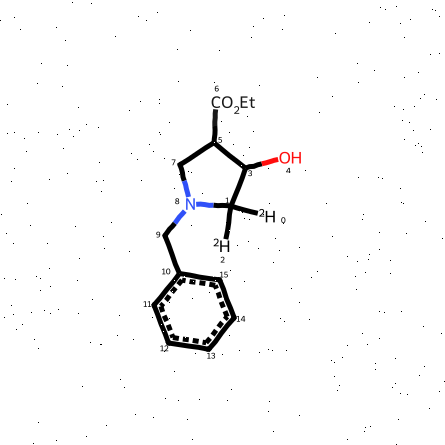 [2H]C1([2H])C(O)C(C(=O)OCC)CN1Cc1ccccc1